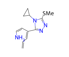 C=C/C=C(\C=C/N)c1nnc(SC)n1C1CC1